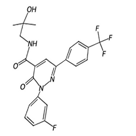 CC(C)(O)CNC(=O)c1cc(-c2ccc(C(F)(F)F)cc2)nn(-c2cccc(F)c2)c1=O